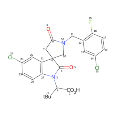 CC(C)(C)C(C(=O)O)N1C(=O)C2(CC(=O)N(Cc3cc(Cl)ccc3F)C2)c2cc(Cl)ccc21